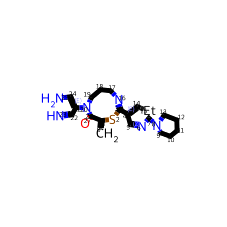 C=C1SC(C(/C=N\CN2CCCCC2)=C/CC)=NCCCN(/C(C=N)=C/N)C1=O